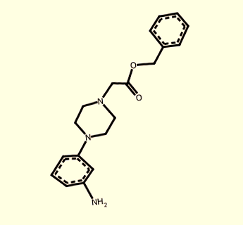 Nc1cccc(N2CCN(CC(=O)OCc3ccccc3)CC2)c1